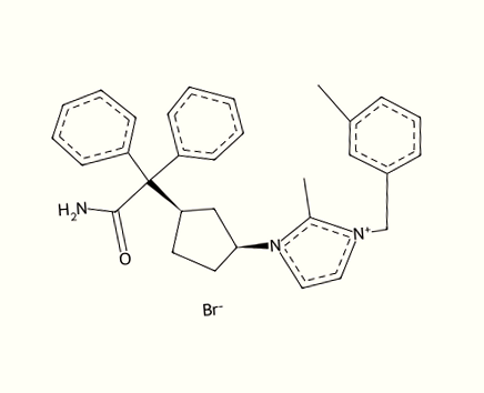 Cc1cccc(C[n+]2ccn([C@H]3CC[C@@H](C(C(N)=O)(c4ccccc4)c4ccccc4)C3)c2C)c1.[Br-]